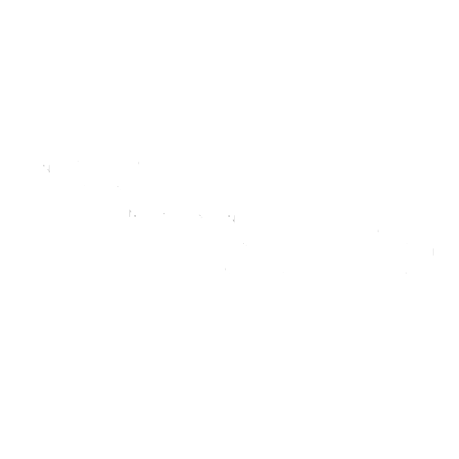 Cc1cc(C(=O)NC23CC(NC(=O)COc4ccc5c(c4)OC(F)(F)O5)(C2)C3)on1